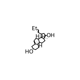 CCC=CC1CC(O)[C@@]2(C)CC[C@@H]3[C@@H](CC=C4CC(O)CC[C@@]43C)[C@H]12